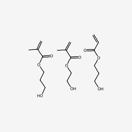 C=C(C)C(=O)OCCCO.C=C(C)C(=O)OCCO.C=CC(=O)OCCCO